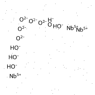 [Nb+5].[Nb+5].[Nb+5].[O-2].[O-2].[O-2].[O-2].[O-2].[OH-].[OH-].[OH-].[OH-].[OH-]